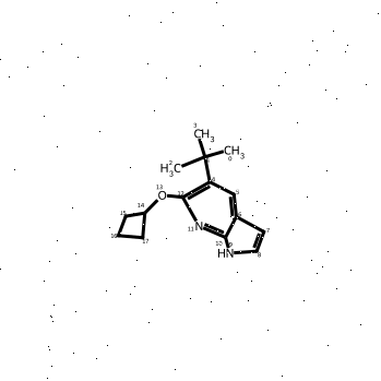 CC(C)(C)c1cc2cc[nH]c2nc1OC1CCC1